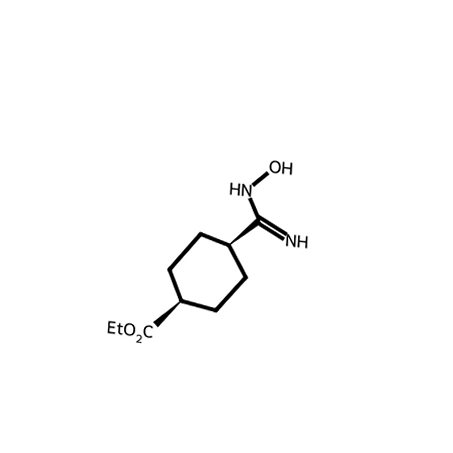 CCOC(=O)[C@H]1CC[C@@H](C(=N)NO)CC1